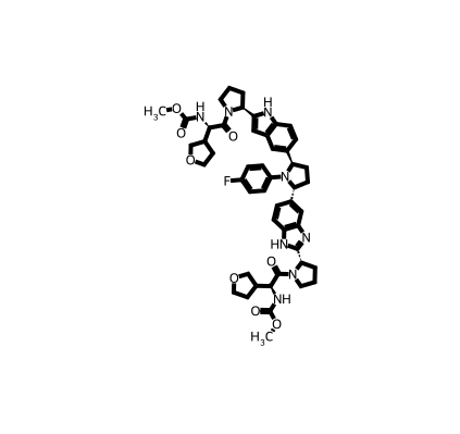 COC(=O)N[C@H](C(=O)N1CCC[C@H]1c1cc2cc([C@H]3CC[C@H](c4ccc5[nH]c([C@@H]6CCCN6C(=O)[C@@H](NC(=O)OC)C6CCOC6)nc5c4)N3c3ccc(F)cc3)ccc2[nH]1)C1CCOC1